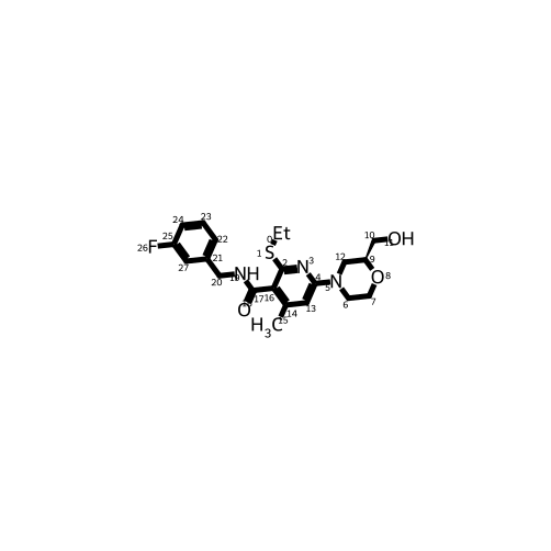 CCSc1nc(N2CCO[C@H](CO)C2)cc(C)c1C(=O)NCc1cccc(F)c1